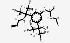 C=CCOC(c1cc(OC(C)OCC)cc(C(O)(C(F)(F)F)C(F)(F)F)c1)(C(F)(F)F)C(F)(F)F